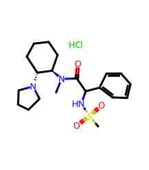 CN(C(=O)C(NS(C)(=O)=O)c1ccccc1)[C@@H]1CCCC[C@H]1N1CCCC1.Cl